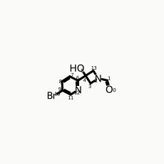 O=CN1CC(O)(c2ccc(Br)cn2)C1